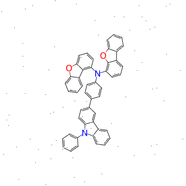 c1ccc(-n2c3ccccc3c3cc(-c4ccc(N(c5cccc6c5oc5ccccc56)c5cccc6oc7ccccc7c56)cc4)ccc32)cc1